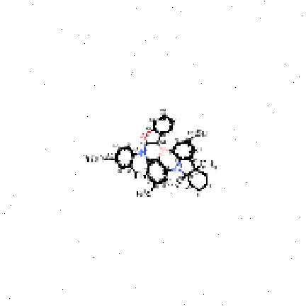 Cc1cc2c3c(c1)N1c4c(cc(C(C)(C)C)cc4C4(C)CCCCC14C)B3C1c3ccccc3OC1N2c1ccc(C(C)(C)C)cc1C